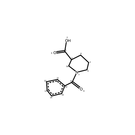 O=C(O)C1CCCN(C(=O)c2ccccc2)C1